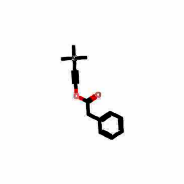 C[Si](C)(C)C#COC(=O)Cc1ccccc1